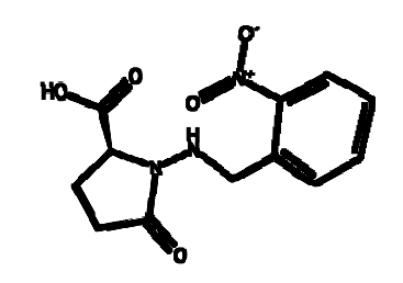 O=C(O)[C@@H]1CCC(=O)N1NCc1ccccc1[N+](=O)[O-]